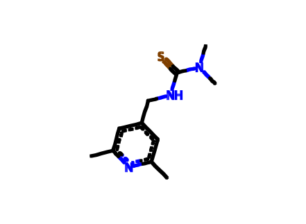 Cc1cc(CNC(=S)N(C)C)cc(C)n1